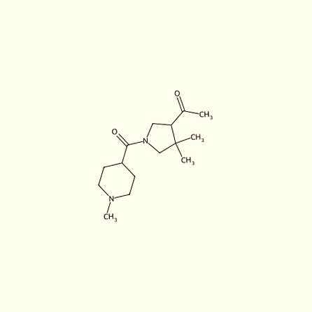 CC(=O)C1CN(C(=O)C2CCN(C)CC2)CC1(C)C